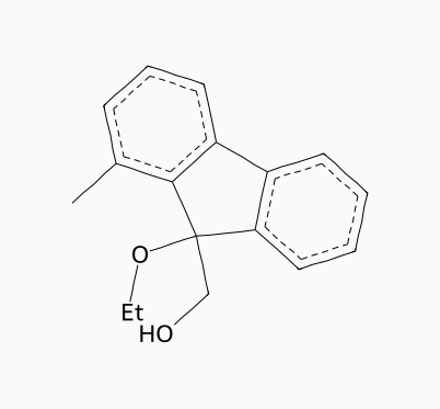 CCOC1(CO)c2ccccc2-c2cccc(C)c21